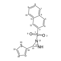 O=S(=O)(c1ccc2ccccc2c1)N1NC1c1cccs1